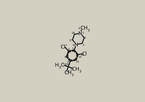 CN1CCN(c2c(Cl)cc(C(C)(C)C)cc2Cl)CC1